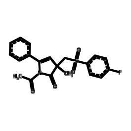 CC(=O)N1C(=O)C(C)(CS(=O)(=O)c2ccc(F)cc2)C=C1c1ccccc1